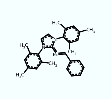 Cc1cc(C)c(-n2ccn(-c3c(C)cc(C)cc3C)[c]2=[Ru]=[CH]c2ccccc2)c(C)c1